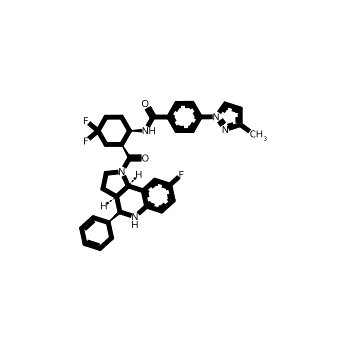 Cc1ccn(-c2ccc(C(=O)N[C@@H]3CCC(F)(F)C[C@@H]3C(=O)N3CC[C@@H]4C([C@@H]5C=CC=CC5)Nc5ccc(F)cc5[C@@H]43)cc2)n1